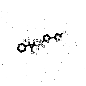 CC1C(NS(=O)(=O)c2ccc(-c3cc(C(F)(F)F)on3)s2)(C(=O)O)C1(C)c1ccccc1